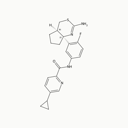 NC1=N[C@@]2(c3cc(NC(=O)c4ccc(C5CC5)cn4)ccc3F)CCC[C@H]2CS1